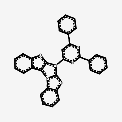 c1ccc(-c2cc(-n3c4oc5ccccc5c4n4c5ccccc5nc34)nc(-c3ccccc3)n2)cc1